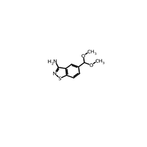 COC(OC)c1ccc2snc(N)c2c1